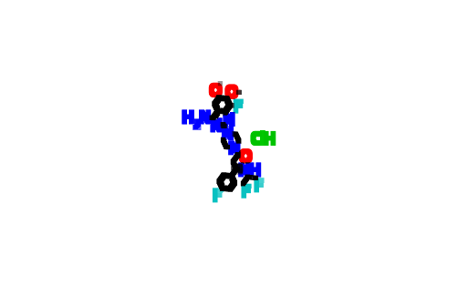 COc1cc2c(N)nc(N3CCN(C(=O)C[C@@H](NC(CF)CF)c4ccc(F)cc4)CC3)nc2c(F)c1OC.Cl